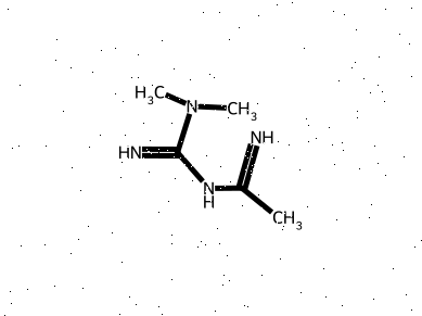 CC(=N)NC(=N)N(C)C